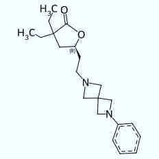 CCC1(CC)C[C@H](CCN2CC3(C2)CN(c2ccccc2)C3)OC1=O